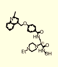 CCN1CCN([C@@H](CNC(=O)c2ccc(OCc3cc(C)nc4ccccc34)cc2)C(=O)NO)CC1